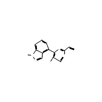 C=Cc1ncc(Cl)c(-c2cccc3c2cnn3C)n1